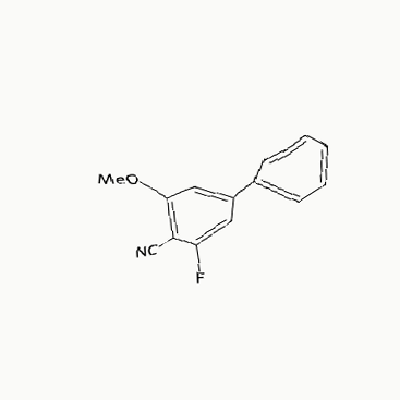 COc1cc(-c2ccccc2)cc(F)c1C#N